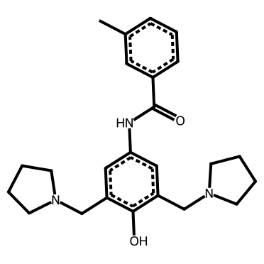 Cc1cccc(C(=O)Nc2cc(CN3CCCC3)c(O)c(CN3CCCC3)c2)c1